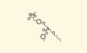 CCCCCOCCN(CCOc1ccc(CC(OCC)C(=O)O)cc1)C(=O)Oc1cccc(C)c1